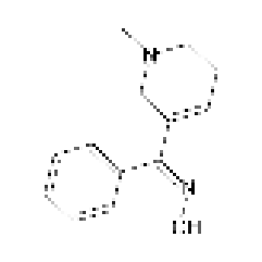 CN1CCC=C(C(=NO)c2ccccc2)C1